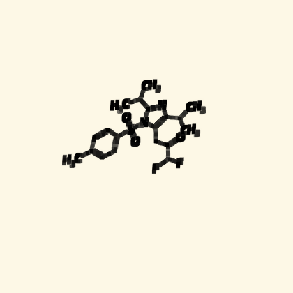 Cc1ccc(S(=O)(=O)n2c(C(C)C)nc(C(C)C)c2CC(=O)C(F)F)cc1